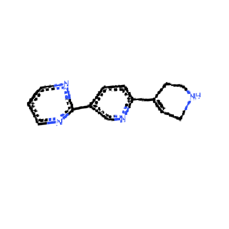 C1=C(c2ccc(-c3ncccn3)cn2)CCNC1